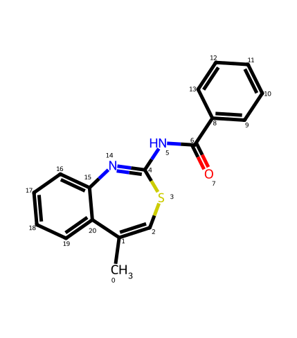 CC1=CSC(NC(=O)c2ccccc2)=Nc2ccccc21